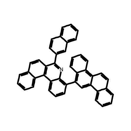 c1ccc2cc(-c3nc4c(-c5cc6c7ccccc7ccc6c6ccccc56)cccc4c4c3ccc3ccccc34)ccc2c1